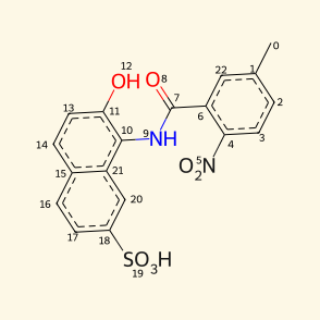 Cc1ccc([N+](=O)[O-])c(C(=O)Nc2c(O)ccc3ccc(S(=O)(=O)O)cc23)c1